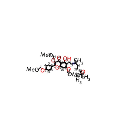 COCOc1ccc(-c2oc3cc(OCOC)c(C/C=C(\C)CC[C@@H]4OC4(C)C)c(O)c3c(=O)c2OCOC)cc1